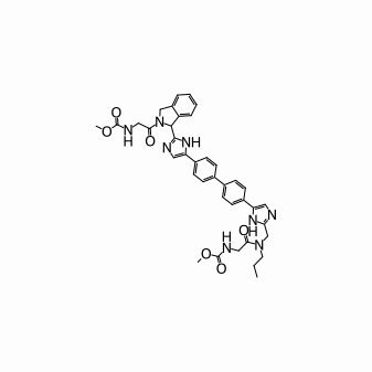 CCCN(Cc1ncc(-c2ccc(-c3ccc(-c4cnc(C5c6ccccc6CN5C(=O)CNC(=O)OC)[nH]4)cc3)cc2)[nH]1)C(=O)CNC(=O)OC